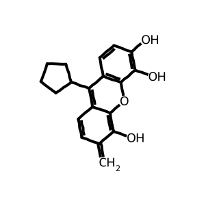 C=c1ccc2c(c1O)Oc1c(ccc(O)c1O)C=2C1CCCC1